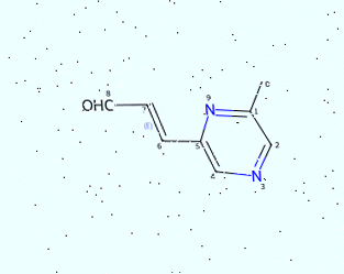 Cc1cncc(/C=C/C=O)n1